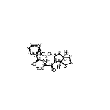 CC(C)(C)C(NC(=O)c1cnccn1)C(=O)N1[C@H](C(=O)O)C[C@@H]2CCC[C@@H]21